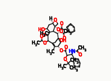 CC(=O)N[C@@H](c1ccccc1)[C@@H](OC(C)(C)C)C(=O)O[C@H]1C[C@]2(O)CC(=C1C)[C@@H](OC(C)=O)C(=O)[C@@]1(C)C([C@@H]2OC(=O)c2ccccc2)[C@]2(OC(C)=O)CO[C@@H]2C[C@@H]1O